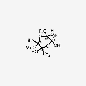 CO[C@@]1(C(C)C)O[C@](O)(C(F)(F)F)[C@](O)(C(C)C)O[C@@]1(O)C(F)(F)F